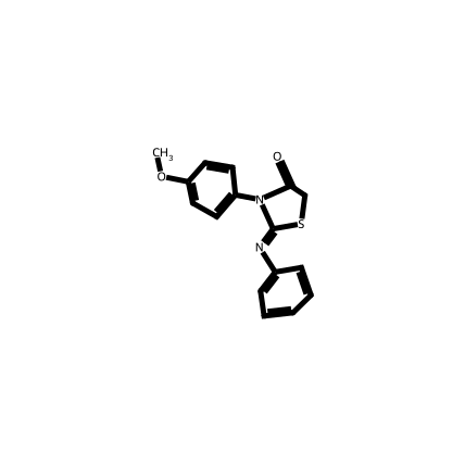 COc1ccc(N2C(=O)CSC2=Nc2ccccc2)cc1